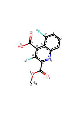 COC(=O)c1nc2cccc(F)c2c(C(=O)O)c1F